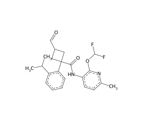 Cc1ccc(NC(=O)C2(c3ccccc3C(C)C)CC(C=O)C2)c(OC(F)F)n1